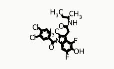 CCC(C)NC(=O)Cc1c(C)n(C(=O)c2ccc(Cl)c(Cl)c2)c2cc(F)c(O)c(F)c12